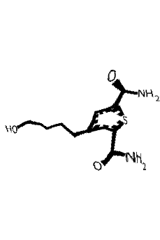 NC(=O)c1cc(CCCCO)c(C(N)=O)s1